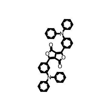 O=C1OC(c2cccc(N(c3ccccc3)c3ccccc3)c2)=C2C(=O)OC(c3cccc(N(c4ccccc4)c4ccccc4)c3)=C12